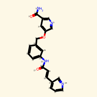 NC(=O)c1cncc(OCc2cccc(NC(=O)C=Cc3cccnc3)c2)c1